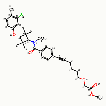 CON(C(=O)c1ccc(C#CCCCCOCC(=O)OC(C)(C)C)cc1)[C@H]1C(C)(C)[C@H](Oc2ccc(C#N)c(Cl)c2)C1(C)C